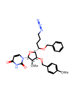 COc1ccc(CO[C@H]2[C@@H](OC)[C@H](n3ccc(=O)[nH]c3=O)O[C@@H]2C(CCCN=[N+]=[N-])OCc2ccccc2)cc1